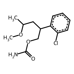 COC(C)CC(COC(N)=O)c1ccccc1Cl